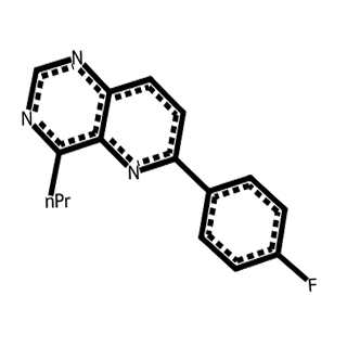 CCCc1ncnc2ccc(-c3ccc(F)cc3)nc12